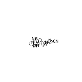 C[C@@]1(c2cc(-c3cn(-c4ccc(C#N)cn4)nn3)ccc2F)CS2(O)NCCCCN2C(N)=N1